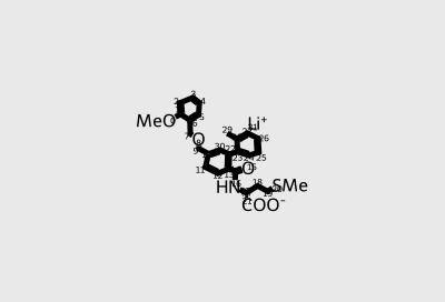 COc1ccccc1COCc1ccc(C(=O)N[C@@H](CCSC)C(=O)[O-])c(-c2ccccc2C)c1.[Li+]